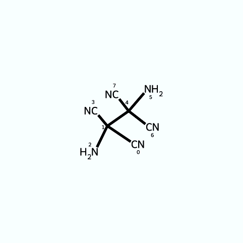 N#CC(N)(C#N)C(N)(C#N)C#N